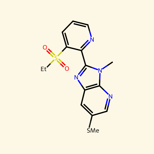 CCS(=O)(=O)c1cccnc1-c1nc2cc(SC)cnc2n1C